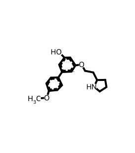 COc1ccc(-c2[c]c(OCCC3CCCN3)cc(O)c2)cc1